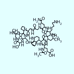 CNC(=O)CNC(=O)C(CO)NC(=O)C(CO)NC(=O)C1CCCN1C(=O)CNC(=O)CNC(=O)C(CCC(N)=O)NC(=O)C(CCCCN)NC(=O)C(CC(C)C)NC(=O)C(NC(=O)C(CCC(=O)O)NC(C)=O)C1CCNc2ccccc21